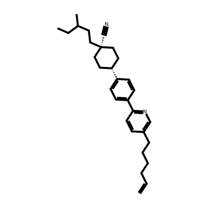 C=CCCCCc1ccc(-c2ccc([C@H]3CC[C@](C#N)(CCC(C)CC)CC3)cc2)nc1